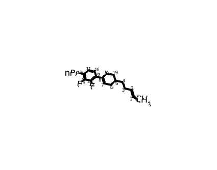 C/C=C/CCC1CC=C(c2ccc(CCC)c(F)c2F)CC1